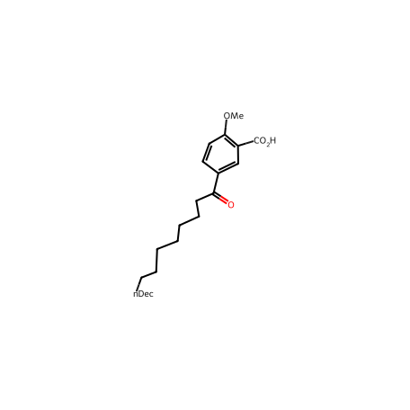 CCCCCCCCCCCCCCCCCC(=O)c1ccc(OC)c(C(=O)O)c1